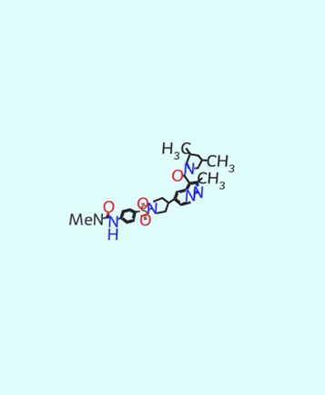 CNC(=O)Nc1ccc(S(=O)(=O)N2CCC(c3ccn4nc(C)c(C(=O)N5CC(C)CC(C)C5)c4c3)CC2)cc1